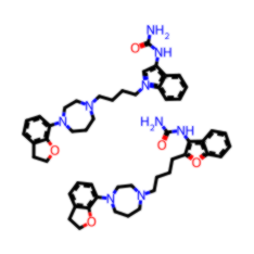 NC(=O)Nc1c(CCCCN2CCCN(c3cccc4c3OCC4)CC2)oc2ccccc12.NC(=O)Nc1cn(CCCCN2CCCN(c3cccc4c3OCC4)CC2)c2ccccc12